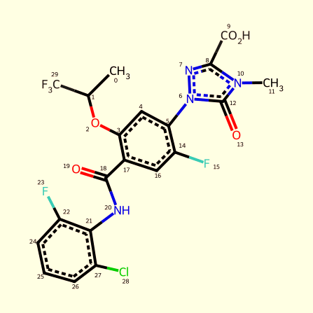 CC(Oc1cc(-n2nc(C(=O)O)n(C)c2=O)c(F)cc1C(=O)Nc1c(F)cccc1Cl)C(F)(F)F